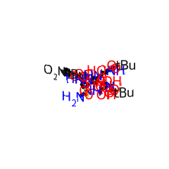 C[C@@H]([C@@H](O)[C@H](OCCO)O[C@@H]1[C@@H](O)[C@H](O[C@H]2OC(CNC(=O)OCc3ccc([N+](=O)[O-])cc3)=CC[C@H]2NS(=O)(=O)CCN)[C@@H](NC(=O)OC(C)(C)C)C[C@H]1NC(=O)[C@@H](O)CCNC(=O)OC(C)(C)C)N(C)C(=O)OC(C)(C)C